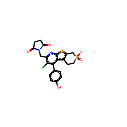 O=C1CCC(=O)N1Cc1nc2sc3c(c2c(-c2ccc(O)cc2)c1Cl)CCS(=O)(=O)C3